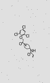 C=CC(=O)NC1CCN(C(=O)COc2c(Cl)cc(Cl)cc2Cl)CC1